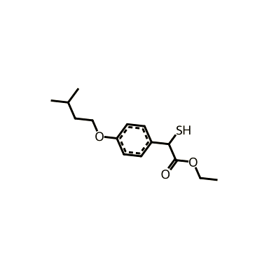 CCOC(=O)C(S)c1ccc(OCCC(C)C)cc1